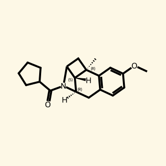 COc1ccc2c(c1)[C@]1(C)CC3[C@H]1[C@@H](C2)N3C(=O)C1CCCC1